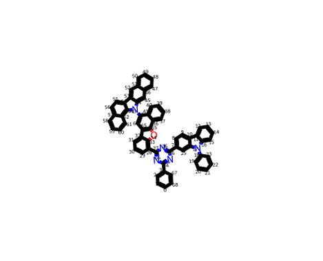 c1ccc(-c2nc(-c3ccc4c5ccccc5n(-c5ccccc5)c4c3)nc(-c3cccc4c3oc3c5ccccc5c(-n5c6cc7ccccc7cc6c6ccc7ccccc7c65)cc43)n2)cc1